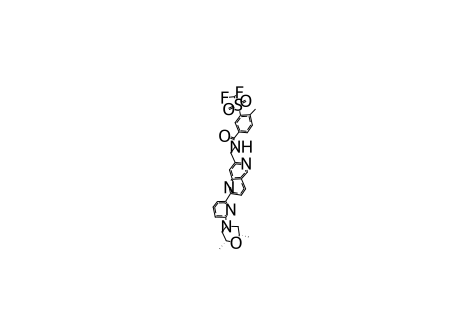 Cc1ccc(C(=O)NCc2cc3nc(-c4cccc(N5C[C@@H](C)O[C@@H](C)C5)n4)ccc3cn2)cc1S(=O)(=O)C(F)F